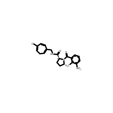 Cc1c(C(=O)N2CCC[C@H]2C(=O)NCC2=CCC=C(Cl)C=C2)cccc1[N+](=O)[O-]